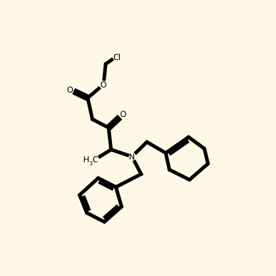 CC(C(=O)CC(=O)OCCl)N(CC1=CCCCC1)Cc1ccccc1